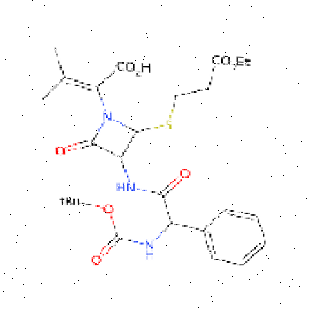 CCOC(=O)CCSC1C(NC(=O)C(NC(=O)OC(C)(C)C)c2ccccc2)C(=O)N1C(C(=O)O)=C(C)C